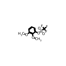 COc1cccc(OS(=O)(=O)C(F)(F)F)c1OC